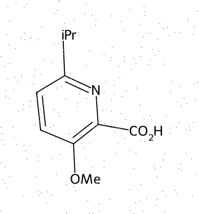 COc1ccc(C(C)C)nc1C(=O)O